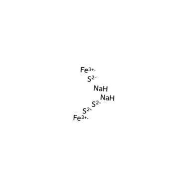 [Fe+3].[Fe+3].[NaH].[NaH].[S-2].[S-2].[S-2]